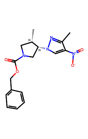 Cc1nn([C@@H]2CN(C(=O)OCc3ccccc3)C[C@@H]2C)cc1[N+](=O)[O-]